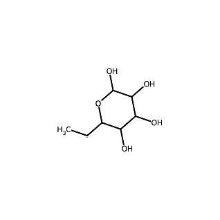 C[CH]C1OC(O)C(O)C(O)C1O